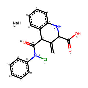 C=C1C(C(=O)O)Nc2ccccc2C1C(=O)N(Cl)c1ccccc1.[NaH]